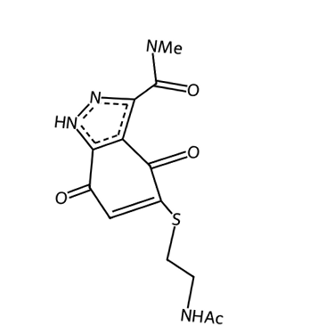 CNC(=O)c1n[nH]c2c1C(=O)C(SCCNC(C)=O)=CC2=O